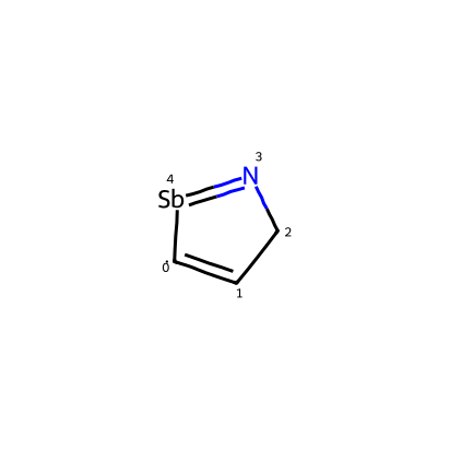 [C]1=CC[N]=[Sb]1